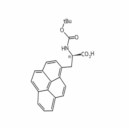 CC(C)(C)OC(=O)N[C@H](Cc1ccc2ccc3cccc4ccc1c2c34)C(=O)O